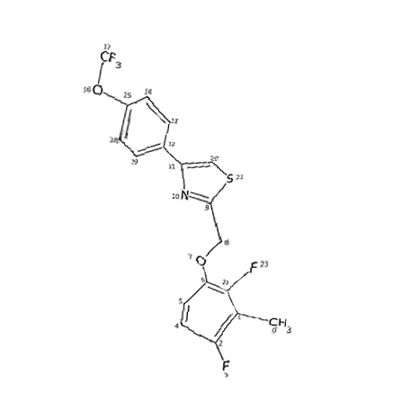 Cc1c(F)ccc(OCc2nc(-c3ccc(OC(F)(F)F)cc3)cs2)c1F